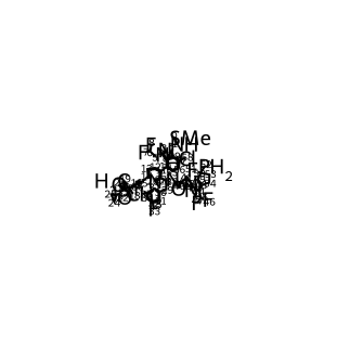 CSNc1nn(CC(F)F)c2c(-c3ccc(C#CC(C)(C)S(=O)(=O)C4CC4)nc3C(Cc3cc(F)cc(F)c3)NC(=O)Cn3nc(C(F)F)c4c3C(F)(P)CC4)ccc(Cl)c12